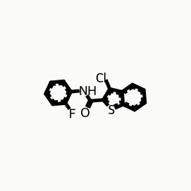 O=C(Nc1ccccc1F)c1sc2ccccc2c1Cl